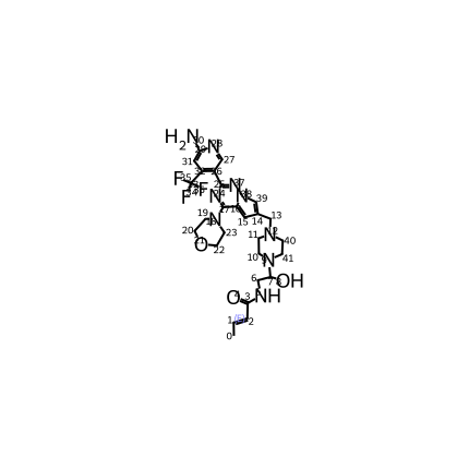 C/C=C/C(=O)NCC(O)N1CCN(Cc2cc3c(N4CCOCC4)nc(-c4cnc(N)cc4C(F)(F)F)nn3c2)CC1